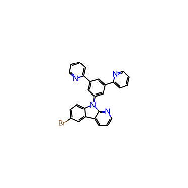 Brc1ccc2c(c1)c1cccnc1n2-c1cc(-c2ccccn2)cc(-c2ccccn2)c1